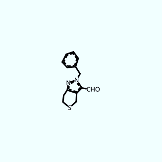 O=Cc1c2c(nn1Cc1ccccc1)CCSC2